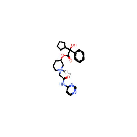 C[N+]1(CC(=O)Nc2ccncn2)CCCC(OC(=O)C(O)(c2ccccc2)C2CCCC2)C1